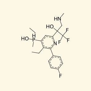 CCc1c([PH](C)(O)CC)cc(C(O)(CNC)C(F)(F)F)nc1-c1ccc(F)cc1